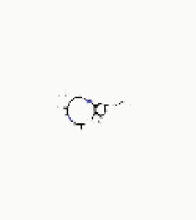 CC1OC(=O)c2c(O)cc(NCCO)cc2/C=C/CC(O)C(O)C(=O)/C(F)=C\[C@H]1C